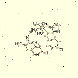 C/C(=N\C#N)N(C)Cc1ccc(Cl)nc1.CC(C)(C)C(O)(CCc1ccc(Cl)cc1)Cn1cncn1